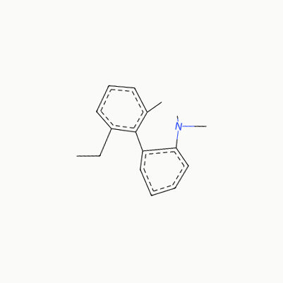 CCc1cccc(C)c1-c1ccccc1N(C)C